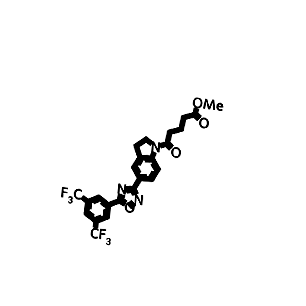 COC(=O)CCCC(=O)N1CCc2cc(-c3noc(-c4cc(C(F)(F)F)cc(C(F)(F)F)c4)n3)ccc21